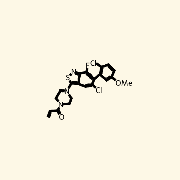 C=CC(=O)N1CCN(c2snc3c(F)c(-c4cc(OC)ccc4Cl)c(Cl)cc23)CC1